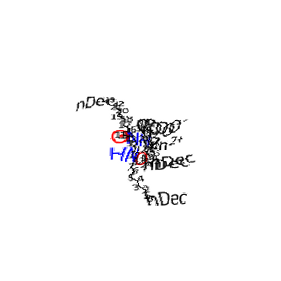 CCCCCCCCCCCCCCCCCC(=O)NCCNC(=O)CCCCCCCCCCCCCCCCC.CCCCCCCCCCCCCCCCCC(=O)[O-].CCCCCCCCCCCCCCCCCC(=O)[O-].[Zn+2]